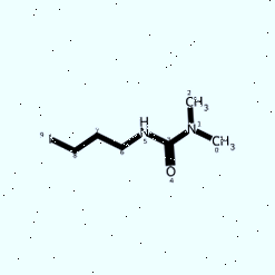 CN(C)C(=O)NCCCI